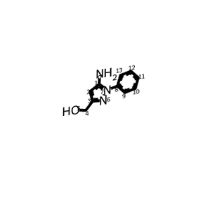 Nc1cc(CO)nn1-c1ccccc1